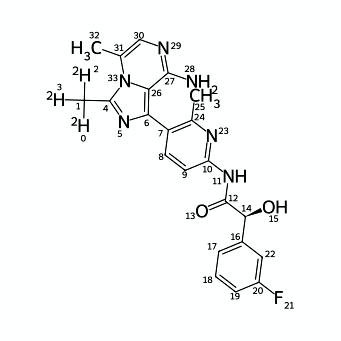 [2H]C([2H])([2H])c1nc(-c2ccc(NC(=O)[C@@H](O)c3cccc(F)c3)nc2C)c2c(N)ncc(C)n12